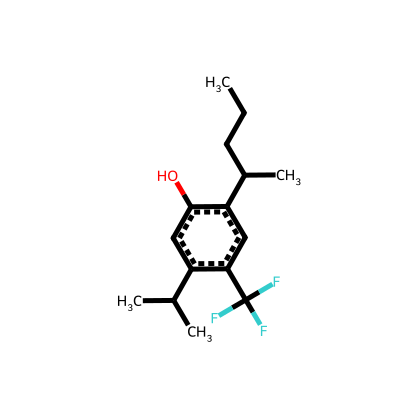 CCCC(C)c1cc(C(F)(F)F)c(C(C)C)cc1O